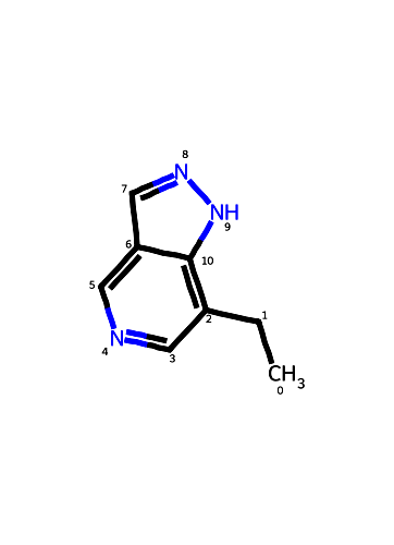 CCc1cncc2cn[nH]c12